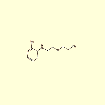 OCCOCCNC1CC=CC=C1O